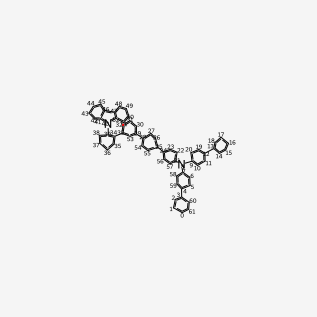 c1ccc(-c2ccc(N(c3ccc(-c4ccccc4)cc3)c3ccc(-c4ccc(-c5cccc(-c6ccccc6-n6c7ccccc7c7ccccc76)c5)cc4)cc3)cc2)cc1